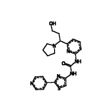 O=C(Nc1cccc(C(CCO)N2CCCC2)n1)Nc1csc(-c2ccncc2)n1